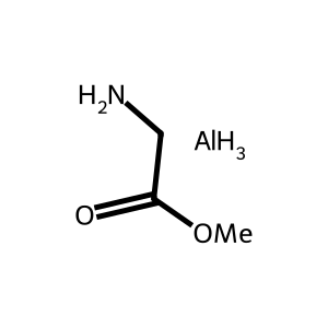 COC(=O)CN.[AlH3]